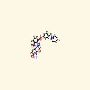 Cc1nc2c(OCc3ccc(CN4CCCCCC4)cc3)cccc2c(=O)n1C1CCC(=O)NC1=O